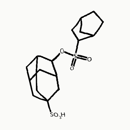 O=S(=O)(OC1C2CC3CC1CC(S(=O)(=O)O)(C3)C2)C1CC2CCC1C2